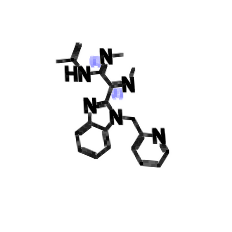 C=C(C)NC(=N/C)/C(=N\C)c1nc2ccccc2n1Cc1ccccn1